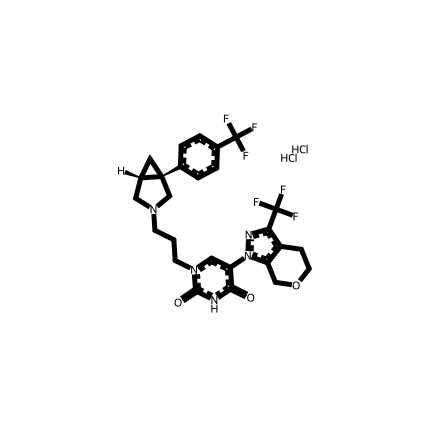 Cl.Cl.O=c1[nH]c(=O)n(CCCN2C[C@@H]3C[C@]3(c3ccc(C(F)(F)F)cc3)C2)cc1-n1nc(C(F)(F)F)c2c1COCC2